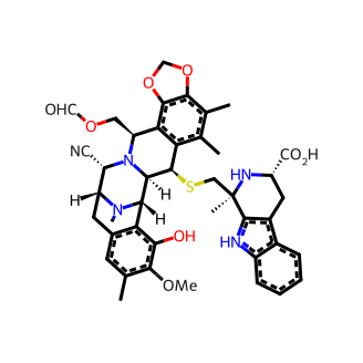 COc1c(C)cc2c(c1O)[C@H]1[C@@H]3[C@H](SC[C@@]4(C)N[C@H](C(=O)O)Cc5c4[nH]c4ccccc54)c4c(C)c(C)c5c(c4[C@H](COC=O)N3[C@@H](C#N)[C@@H](C2)N1C)OCO5